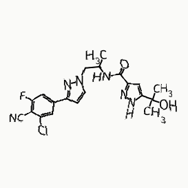 CC(Cn1ccc(-c2cc(F)c(C#N)c(Cl)c2)n1)NC(=O)c1cc(C(C)(C)O)[nH]n1